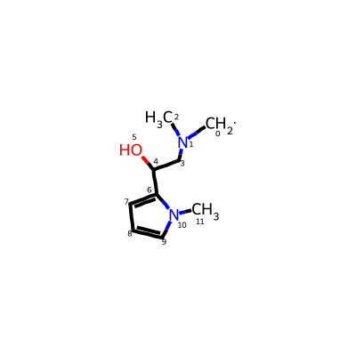 [CH2]N(C)CC(O)c1cccn1C